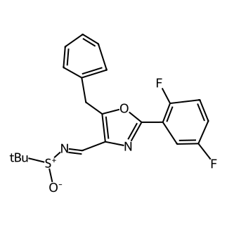 CC(C)(C)[S+]([O-])/N=C/c1nc(-c2cc(F)ccc2F)oc1Cc1ccccc1